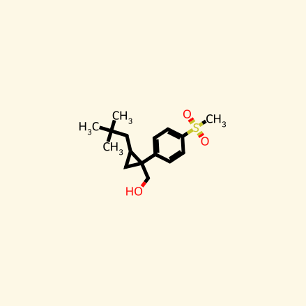 CC(C)(C)CC1CC1(CO)c1ccc(S(C)(=O)=O)cc1